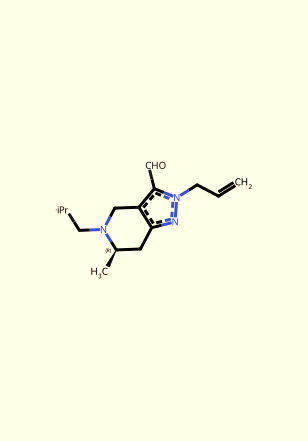 C=CCn1nc2c(c1C=O)CN(C[C](C)C)[C@H](C)C2